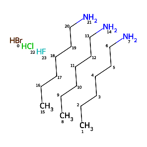 Br.CCCCCCN.CCCCCCN.CCCCCCN.Cl.F